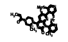 C=CC(=O)N1CCN(c2nc(=O)n(-c3c(C)ccnc3C(C)C)c3nc(-c4c(F)cncc4SC)c(F)cc23)[C@@H](C)C1